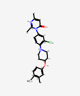 Cc1cc(=O)n(-c2ccc(N3CCC(Oc4ccc(C#N)c(C)c4)CC3)c(Cl)c2)c(C)n1